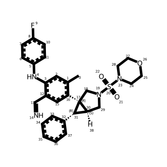 Cc1cc(Nc2ccc(F)cc2)c(C=N)cc1[C@]12CN(S(=O)(=O)N3CCOCC3)C[C@H]1[C@@H]2c1ccccc1